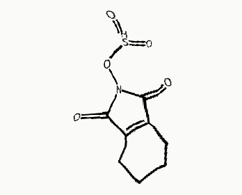 O=C1C2=C(CCCC2)C(=O)N1O[SH](=O)=O